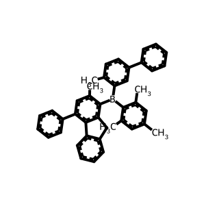 Cc1cc(C)c(B(c2cc(-c3ccccc3)ccc2C)c2c(C)cc(-c3ccccc3)c3c2Cc2ccccc2-3)c(C)c1